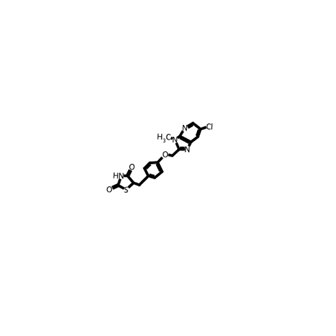 Cn1c(COc2ccc(CC3SC(=O)NC3=O)cc2)nc2cc(Cl)cnc21